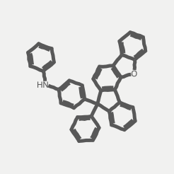 c1ccc(Nc2ccc(C3(c4ccccc4)c4ccccc4-c4c3ccc3c4oc4ccccc43)cc2)cc1